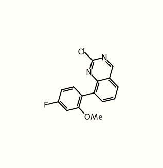 COc1cc(F)ccc1-c1cccc2cnc(Cl)nc12